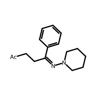 CC(=O)CCC(=NN1CCCCC1)c1ccccc1